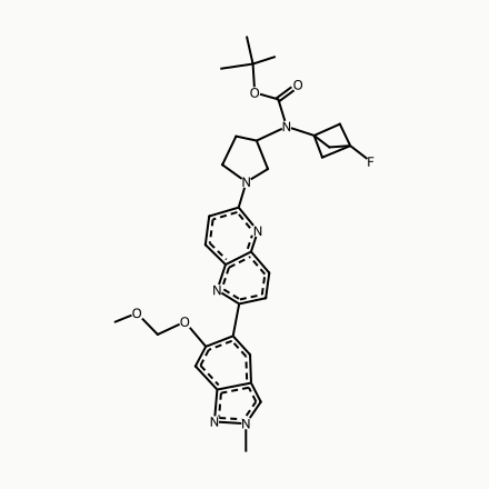 COCOc1cc2nn(C)cc2cc1-c1ccc2nc(N3CCC(N(C(=O)OC(C)(C)C)C45CC(F)(C4)C5)C3)ccc2n1